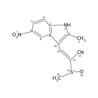 Cc1[nH]c2ccc([N+](=O)[O-])cc2c1/C=C(\C#N)[S+](C)[O-]